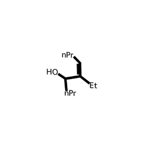 CCCC=C(CC)C(O)CCC